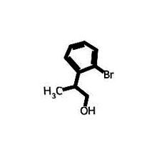 CC(CO)c1ccccc1Br